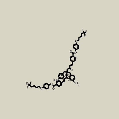 Nc1ccc(CC(CC(=O)/C=C/c2ccc(C(=O)Oc3ccc(OCCCCC(F)(F)F)cc3)cc2)(Cc2ccc(N)cc2)C(O)(O)C(=O)/C=C/c2ccc(C(=O)Oc3ccc(OCCCCC(F)(F)F)cc3)cc2)cc1